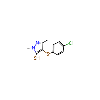 Cc1nn(C)c(S)c1Sc1ccc(Cl)cc1